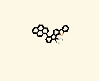 CC1(C)c2cccc(-c3ccc4ccc5cccc6ccc3c4c56)c2-c2ccc3c(sc4ccccc43)c21